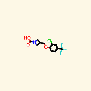 O=C(O)N1CC(COc2ccc(C(F)(F)F)cc2Cl)C1